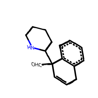 O=CC1(C2CCCCN2)C=CCc2ccccc21